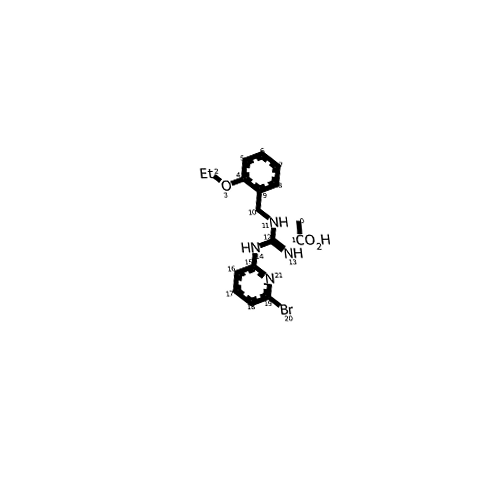 CC(=O)O.CCOc1ccccc1CNC(=N)Nc1cccc(Br)n1